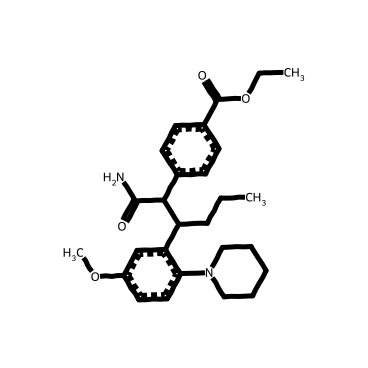 CCCC(c1cc(OC)ccc1N1CCCCC1)C(C(N)=O)c1ccc(C(=O)OCC)cc1